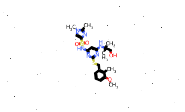 COc1cccc(CSc2nc(NC(C)(C)CO)cc(NS(=O)(=O)c3cn(C)c(C)n3)n2)c1C